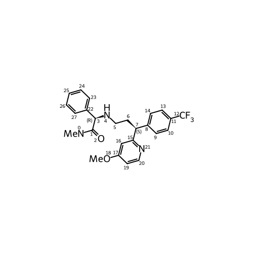 CNC(=O)[C@H](NCC[C@@H](c1ccc(C(F)(F)F)cc1)c1cc(OC)ccn1)c1ccccc1